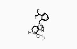 C[C@H]1NCCc2c1nnn2Cc1ccccc1C(F)F